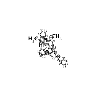 COc1ccc(C2(Cc3ccncc3)C(=O)c3ccc(OCc4ccccc4)cc3C2=O)c2[nH]c(CC(C)c3ccccc3)nc12